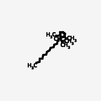 CCCCCCCCCCCCCCN(C(C)=S)c1c(C(C)C)cccc1C(C)C